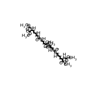 COC(=O)NC(CCCCNC(=O)NCCCC(C)(C)[Si](C)(C)CCCNC(=O)NCCCCC(NC(=O)OC)C(=O)OC)C(=O)OC